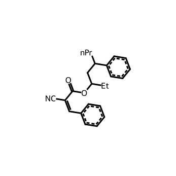 CCCC(CC(CC)OC(=O)C(C#N)=Cc1ccccc1)c1ccccc1